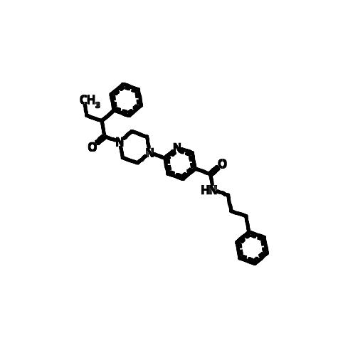 CCC(C(=O)N1CCN(c2ccc(C(=O)NCCCc3ccccc3)cn2)CC1)c1ccccc1